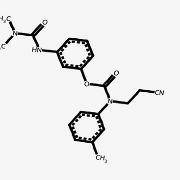 Cc1cccc(N(CCC#N)C(=O)Oc2cccc(NC(=O)N(C)C)c2)c1